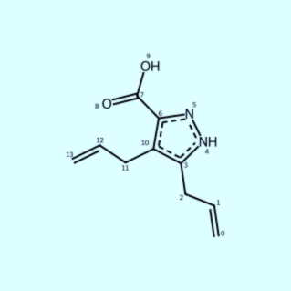 C=CCc1[nH]nc(C(=O)O)c1CC=C